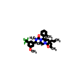 C=CCC1(CC=C)C[C@H]2[C@H](c3ccccc3C)N(C(=O)N(C)[C@H](C)c3cc(OC)cc(C(F)(F)F)c3)CCN2C1=O